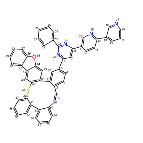 C1=C\c2ccc(-c3cc(-c4ccc(-c5cccnc5)nc4)nc(-c4ccccc4)n3)cc2-c2cc3oc4ccccc4c3cc2Sc2ccccc2-c2ccccc2/1